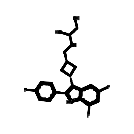 OCC(O)NC[C@H]1C[C@H](c2c(-c3ccc(F)cc3)[nH]c3c(F)cc(F)cc32)C1